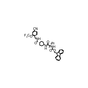 CC(C)[C@@](C)(NC(=O)OCC1c2ccccc2-c2ccccc21)C(=O)N[C@H]1CC[C@@H](C(=O)NCc2ccc(C#N)cc2OC(F)(F)F)CC1